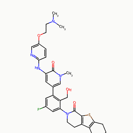 CN(C)CCOc1ccc(Nc2cc(-c3cc(F)cc(N4CCc5c(sc6c5CCCC6)C4=O)c3CO)cn(C)c2=O)nc1